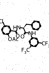 CC(=O)Oc1ccc(Cl)cc1C(=O)N[C@@H](Cc1ccccc1)C(=O)Nc1cc(C(F)(F)F)cc(C(F)(F)F)c1